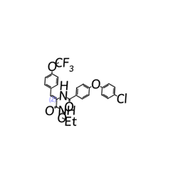 CCONC(=O)/C(=C/c1ccc(OC(F)(F)F)cc1)NC(=O)c1ccc(Oc2ccc(Cl)cc2)cc1